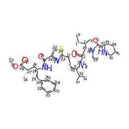 CC[C@@H](C)[C@@H](C(=O)N(C)[C@H](CCc1nc(C(=O)N[C@@H](Cc2ccccc2)C[C@H](C)C(=O)OC)cs1)C(C)C)N(C)C(=O)C1CCCCN1